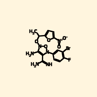 CC(ON1ON(c2ccc(F)c(Br)c2)C(C(=N)N)=C1N)c1ccc([N+](=O)[O-])o1